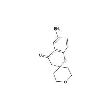 Bc1ccc2c(c1)C(=O)CC1(CCOCC1)O2